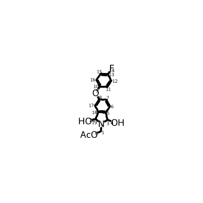 CC(=O)OCN1C(O)c2ccc(Oc3ccc(F)cc3)cc2C1O